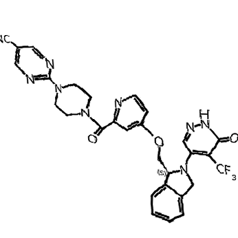 N#Cc1cnc(N2CCN(C(=O)c3cc(OC[C@@H]4c5ccccc5CN4c4cn[nH]c(=O)c4C(F)(F)F)ccn3)CC2)nc1